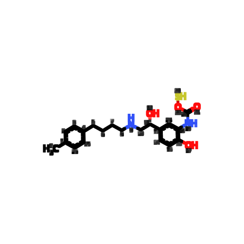 Cc1ccc(CCCCNC[C@H](O)c2ccc(O)c(NC(=O)OS)c2)cc1